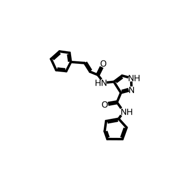 O=C(C=Cc1ccccc1)Nc1c[nH]nc1C(=O)Nc1ccccc1